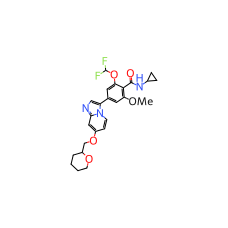 COc1cc(-c2cnc3cc(OCC4CCCCO4)ccn23)cc(OC(F)F)c1C(=O)NC1CC1